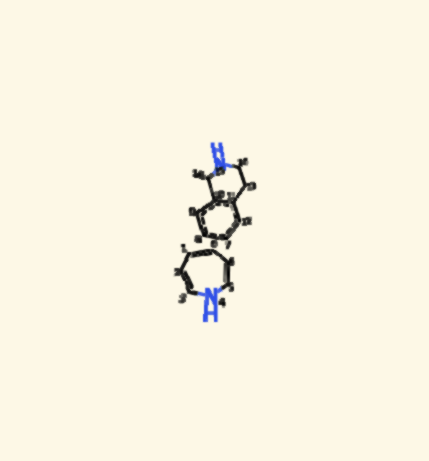 C1=CC=CNC=C1.c1ccc2c(c1)CCNC2